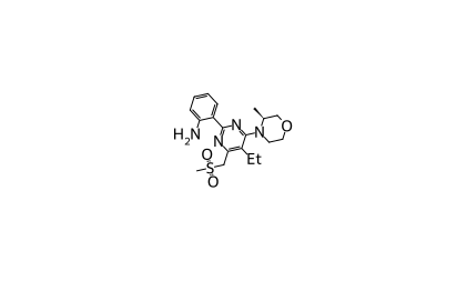 CCc1c(CS(C)(=O)=O)nc(-c2ccccc2N)nc1N1CCOC[C@@H]1C